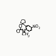 CN1C(=O)OC2(CCCC2)c2cc([N+](=O)[O-])ccc21